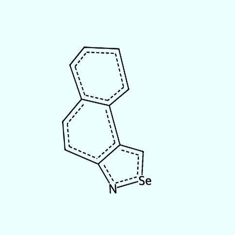 c1ccc2c(c1)ccc1n[se]cc12